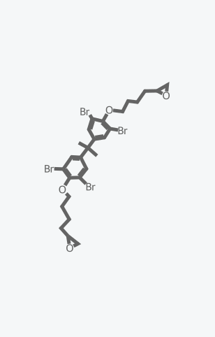 CC(C)(c1cc(Br)c(OCCCCC2CO2)c(Br)c1)c1cc(Br)c(OCCCCC2CO2)c(Br)c1